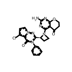 Nc1nc2c(c(N3CC[C@H]3c3nn4ccc(Cl)c4c(=O)n3-c3ccccc3)n1)C(=O)CCO2